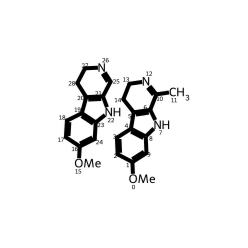 COc1ccc2c3c([nH]c2c1)C(C)=NCC3.COc1ccc2c3c([nH]c2c1)C=NCC3